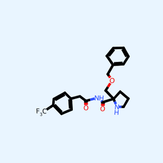 O=C(Cc1ccc(C(F)(F)F)cc1)NC(=O)C1(COCc2ccccc2)CCCN1